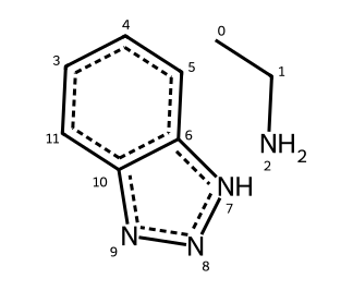 CCN.c1ccc2[nH]nnc2c1